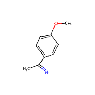 COc1ccc(C(C)=[N])cc1